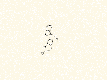 CC(C)Oc1cc2c(cc1-n1cnc3ccccc3c1=O)C(=O)N(C1CC1)CC2